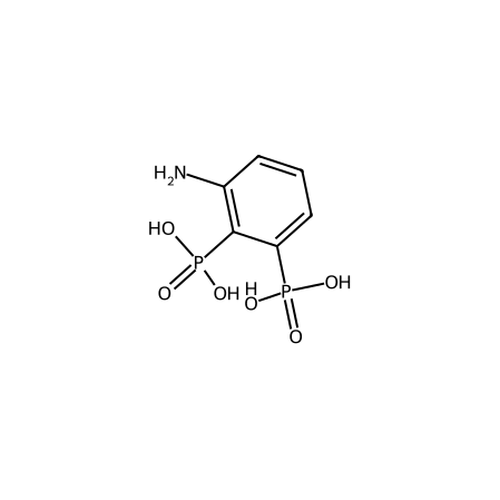 Nc1cccc(P(=O)(O)O)c1P(=O)(O)O